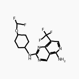 Nc1ncc(C(F)(F)F)c2nc(NC3CCC(OC(F)F)CC3)ncc12